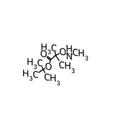 CNOC(C)(C)C(=O)OC(C)(C)C